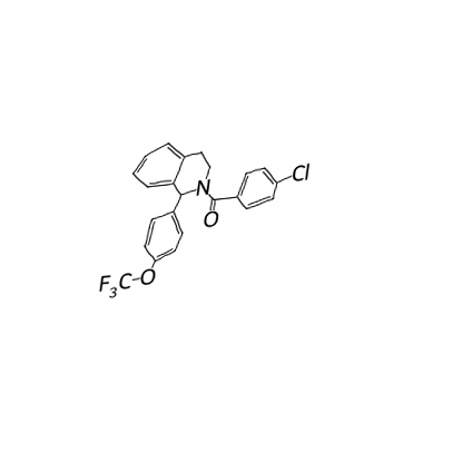 O=C(c1ccc(Cl)cc1)N1CCc2ccccc2C1c1ccc(OC(F)(F)F)cc1